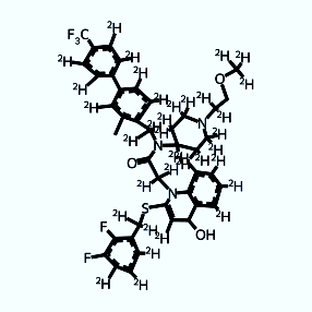 [2H]C1=C(SC([2H])([2H])c2c([2H])c([2H])c([2H])c(F)c2F)N(C([2H])([2H])C(=O)N(C([2H])([2H])c2c([2H])c([2H])c(-c3c([2H])c([2H])c(C(F)(F)F)c([2H])c3[2H])c([2H])c2C)C2([2H])C([2H])([2H])C([2H])([2H])N(C([2H])([2H])COC([2H])([2H])[2H])C([2H])([2H])C2([2H])[2H])c2c([2H])c([2H])c([2H])c([2H])c2C1O